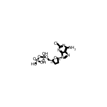 Nc1nc(Cl)nc2c1ncn2[C@H]1CC[C@@H](COP(=O)(O)OP(=O)(O)O)O1